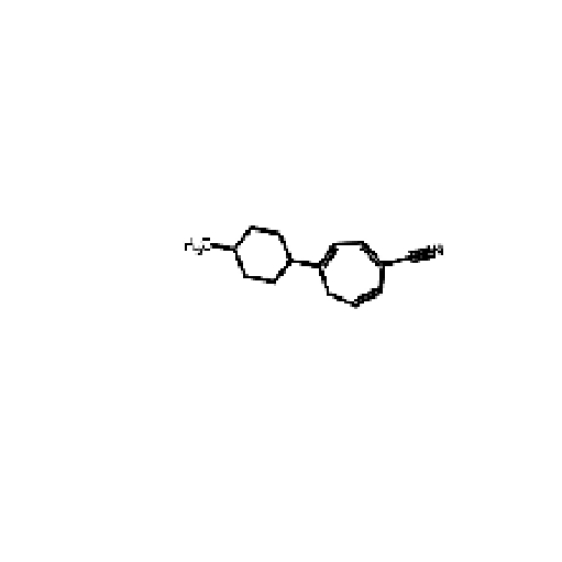 CC1CCC(C2=CC=C(C#N)C=CC2)CC1